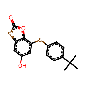 CC(C)(C)c1ccc(Sc2cc(O)cc3sc(=O)oc23)cc1